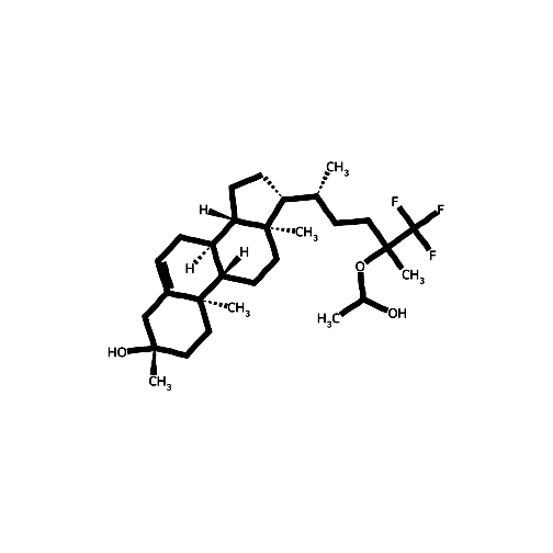 CC(O)OC(C)(CC[C@@H](C)[C@H]1CC[C@H]2[C@@H]3CC=C4C[C@@](C)(O)CC[C@]4(C)[C@H]3CC[C@]12C)C(F)(F)F